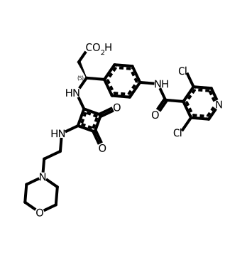 O=C(O)C[C@H](Nc1c(NCCN2CCOCC2)c(=O)c1=O)c1ccc(NC(=O)c2c(Cl)cncc2Cl)cc1